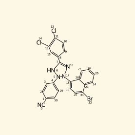 N#Cc1ccc(N2NC(c3ccc(Cl)c(Cl)c3)=NN2c2ccc(Br)c3ccccc23)cc1